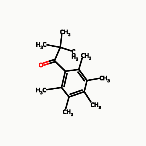 Cc1c(C)c(C)c(C(=O)C(C)(C)C)c(C)c1C